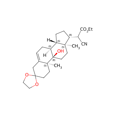 CCOC(=O)C(C#N)[C@H]1CC[C@H]2[C@@H]3CC=C4CC5(CC[C@]4(C)[C@@]3(O)CC[C@]12C)OCCO5